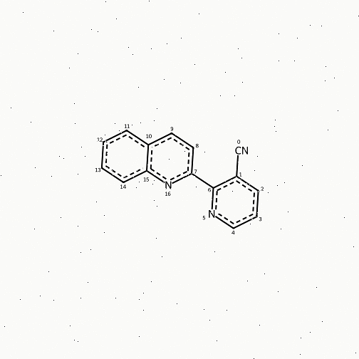 N#Cc1cccnc1-c1ccc2c[c]ccc2n1